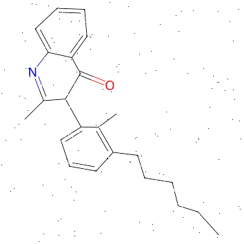 CCCCCCc1cccc(C2C(=O)c3ccccc3N=C2C)c1C